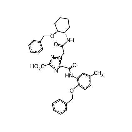 Cc1ccc(OCc2ccccc2)c(NC(=O)c2nc(C(=O)O)nn2CC(=O)N[C@H]2CCCC[C@@H]2OCc2ccccc2)c1